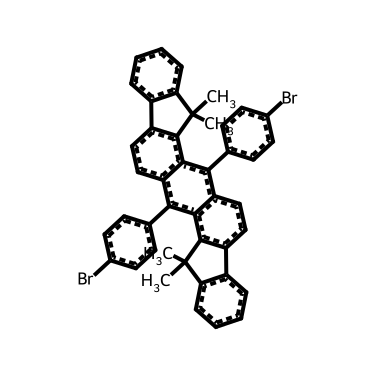 CC1(C)c2ccccc2-c2ccc3c(-c4ccc(Br)cc4)c4c5c(ccc4c(-c4ccc(Br)cc4)c3c21)-c1ccccc1C5(C)C